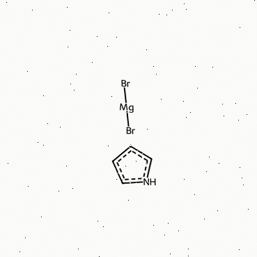 [Br][Mg][Br].[c]1cc[nH]c1